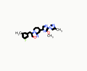 COc1nc(C2=CC3=NOCC(Cc4cc(C)cc(F)c4)N3CCC2)cnc1-n1cnc(C)c1